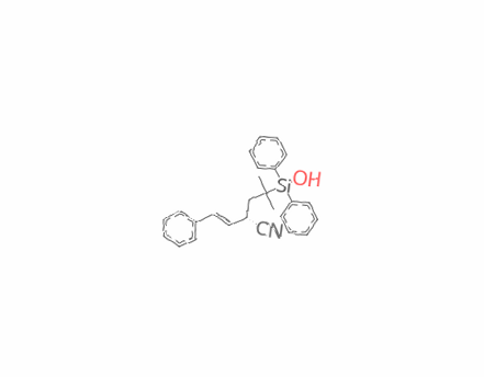 CC(C)(C[C@H](C#N)/C=C/c1ccccc1)[Si](O)(c1ccccc1)c1ccccc1